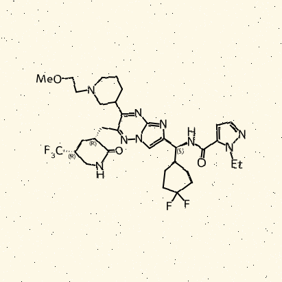 CCn1nccc1C(=O)N[C@H](c1cn2nc(C[C@H]3C[C@@H](C(F)(F)F)CNC3=O)c(C3CCCN(CCOC)C3)nc2n1)C1CCC(F)(F)CC1